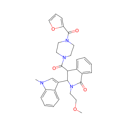 COCCN1C(=O)c2ccccc2C(C(=O)N2CCN(C(=O)c3ccco3)CC2)C1c1cn(C)c2ccccc12